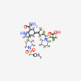 CCS(=O)(=O)N1CCC(c2c[nH]c3c(C(N)=O)cc(-c4csc(CN5CCCCC5)c4)cc23)CC1.O=C(O)C(F)(F)F